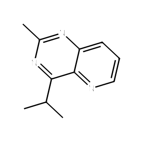 Cc1nc(C(C)C)c2ncccc2n1